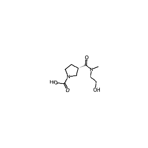 CN(CCO)C(=O)[C@H]1CCN(C(=O)O)C1